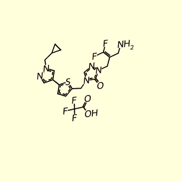 NCC(Cn1ncn(Cc2ccc(-c3cnn(CC4CC4)c3)s2)c1=O)=C(F)F.O=C(O)C(F)(F)F